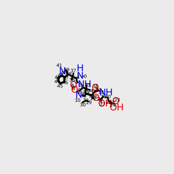 CN[C@H](C(=O)N[C@H](C(=O)N(C)[C@H](/C=C(\C)C1OC1N[C@@H](CCC(=O)O)C(=O)O)C(C)C)C(C)(C)C)C(C)(C)c1cn(C)c2ccccc12